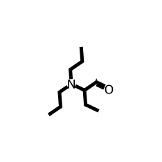 CCCN(CCC)C([C]=O)CC